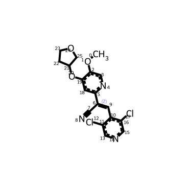 COc1cnc(/C(C#N)=C/c2c(Cl)cncc2Cl)cc1OC1CCOC1